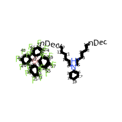 CCCCCCCCCCCCCCCC[NH+](CCCCCCCCCCCCCCCC)c1ccccc1.Fc1c(F)c(F)c([B-](c2c(F)c(F)c(F)c(F)c2F)(c2c(F)c(F)c(F)c(F)c2F)c2c(F)c(F)c(F)c(F)c2F)c(F)c1F